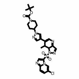 CC1C(c2cnn(C3CCN(C(=O)OC(C)(C)C)CC3)c2)=CN=C2C=NN(S(=O)(=O)c3cnc4ccc(Cl)cn34)C21